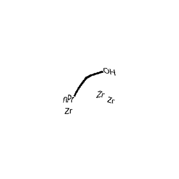 CCCCO.[Zr].[Zr].[Zr]